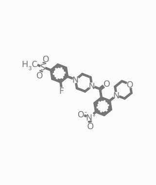 CS(=O)(=O)c1ccc(N2CCN(C(=O)c3cc([N+](=O)[O-])ccc3N3CCOCC3)CC2)c(F)c1